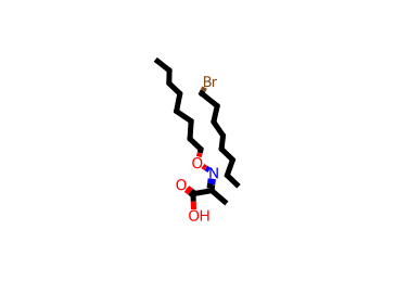 CCCCCCCCBr.CCCCCCCCON=C(C)C(=O)O